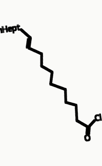 CCCCCCCC=CCCCCCCCCC(=O)Cl